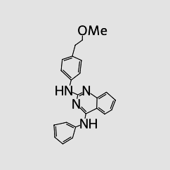 COCCc1ccc(Nc2nc(Nc3ccccc3)c3ccccc3n2)cc1